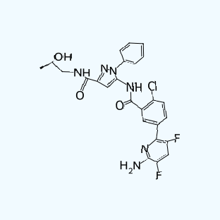 C[C@@H](O)CNC(=O)c1cc(NC(=O)c2cc(-c3nc(N)c(F)cc3F)ccc2Cl)n(-c2ccccc2)n1